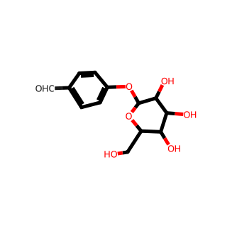 O=Cc1ccc(OC2OC(CO)C(O)C(O)C2O)cc1